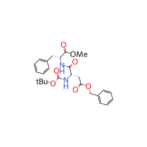 COC(=O)[C@@H](Cc1ccccc1)NC(=O)[C@H](CC(=O)OCc1ccccc1)NC(=O)OC(C)(C)C